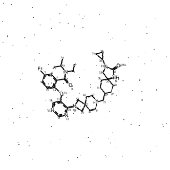 CCN(C(=O)c1cc(F)ccc1Oc1cncnc1N1CC2(CCN(CC3CCC4(CC3)CN(C3CC3)C(=O)N4)CC2)C1)C(C)C